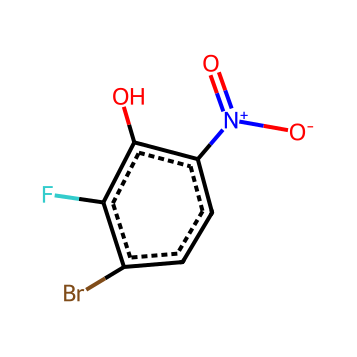 O=[N+]([O-])c1ccc(Br)c(F)c1O